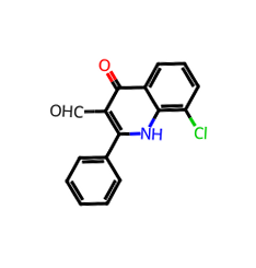 O=Cc1c(-c2ccccc2)[nH]c2c(Cl)cccc2c1=O